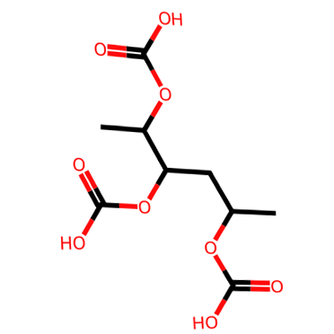 CC(CC(OC(=O)O)C(C)OC(=O)O)OC(=O)O